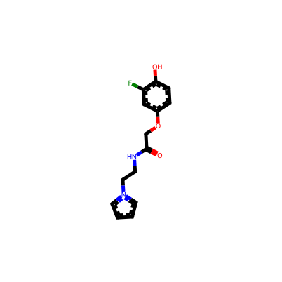 O=C(COc1ccc(O)c(F)c1)NCCn1cccc1